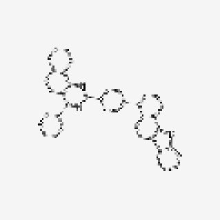 c1ccc(-c2nc(-c3ccc(-c4cccc5c4ccc4c6ccccc6oc54)cc3)nc3c2ccc2ccccc23)cc1